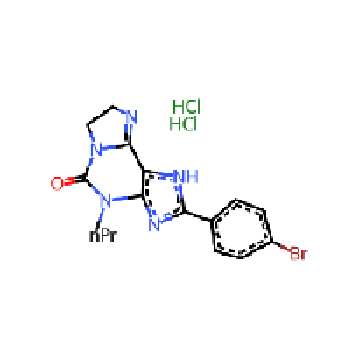 CCCN1C(=O)N2CCN=C2c2[nH]c(-c3ccc(Br)cc3)nc21.Cl.Cl